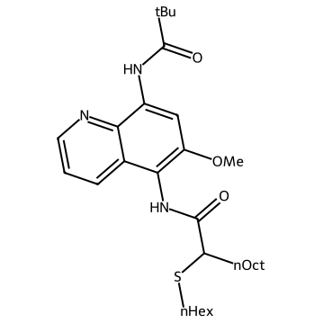 CCCCCCCCC(SCCCCCC)C(=O)Nc1c(OC)cc(NC(=O)C(C)(C)C)c2ncccc12